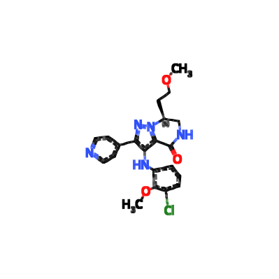 COCC[C@H]1CNC(=O)c2c(Nc3cccc(Cl)c3OC)c(-c3ccncc3)nn21